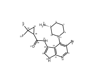 N[C@@H]1CCCN(c2c(Br)cnc3[nH]cc(NC(=O)C4CC4(F)F)c23)C1